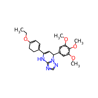 CCOC1=CC=C(C2=CC(c3cc(OC)c(OC)c(OC)c3)n3ncnc3N2)CC1